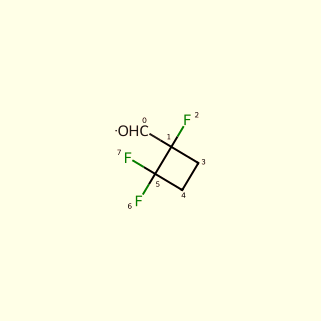 O=[C]C1(F)CCC1(F)F